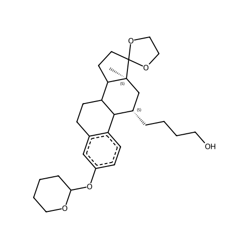 C[C@]12C[C@H](CCCCO)C3c4ccc(OC5CCCCO5)cc4CCC3C1CCC21OCCO1